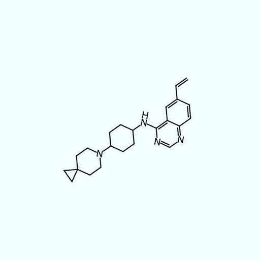 C=Cc1ccc2ncnc(NC3CCC(N4CCC5(CC4)CC5)CC3)c2c1